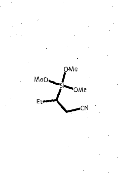 [CH2]CC(CC#N)[Si](OC)(OC)OC